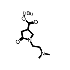 CCCCOC(=O)C1CC(=O)N(CCN(C)C)C1